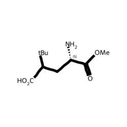 COC(=O)[C@@H](N)CC(C(=O)O)C(C)(C)C